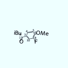 CC[C@@H](C)C(=O)c1ccc(OC)c(F)c1